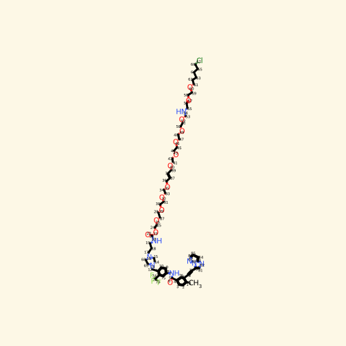 Cc1ccc(C(=O)Nc2ccc(CN3CCN(CCCNC(=O)OCCOCCOCCOCCOC/C=C/COCCOCCOCCOCCOCNCCOCCOCCCCCCCl)CC3)c(C(F)(F)F)c2)cc1C#Cc1cnc2cccnn12